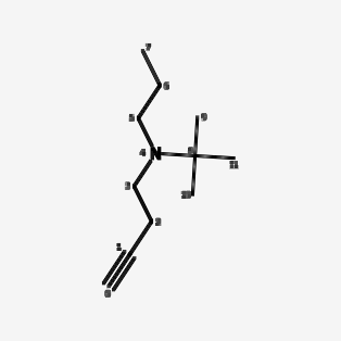 C#CCCN(CCC)C(C)(C)C